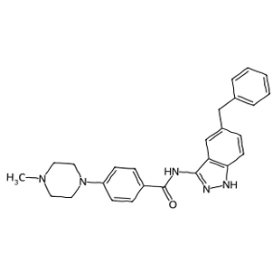 CN1CCN(c2ccc(C(=O)Nc3n[nH]c4ccc(Cc5ccccc5)cc34)cc2)CC1